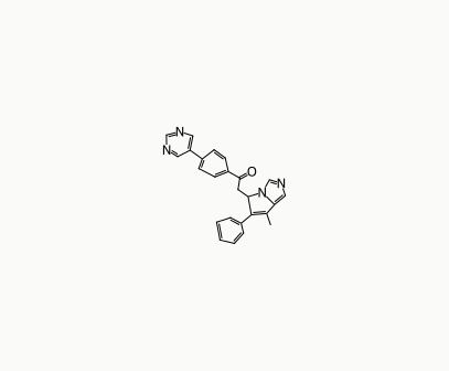 CC1=C(c2ccccc2)C(CC(=O)c2ccc(-c3cncnc3)cc2)n2cncc21